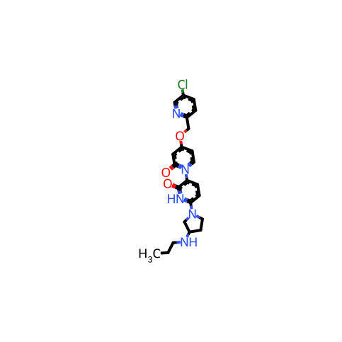 CCCNC1CCN(c2ccc(-n3ccc(OCc4ccc(Cl)cn4)cc3=O)c(=O)[nH]2)C1